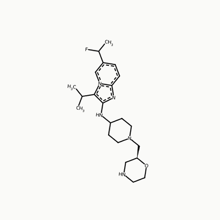 CC(C)c1c(NC2CCN(C[C@@H]3CNCCO3)CC2)nc2ccc(C(C)F)cn12